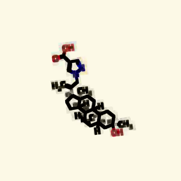 C=C(Cn1cc(C(=O)O)cn1)[C@H]1CC[C@H]2[C@@H]3CC[C@H]4C[C@](C)(O)CC[C@]4(C)[C@H]3CC[C@]12C